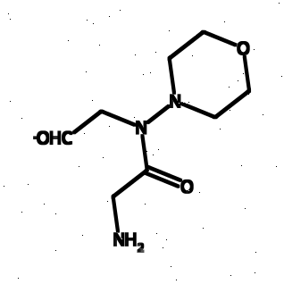 NCC(=O)N(C[C]=O)N1CCOCC1